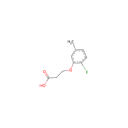 Cc1ccc(F)c(OCCC(=O)O)c1